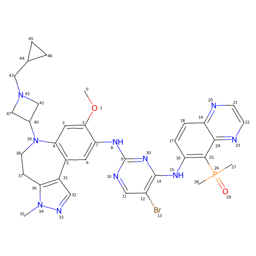 COc1cc2c(cc1Nc1ncc(Br)c(Nc3ccc4nccnc4c3P(C)(C)=O)n1)-c1cnn(C)c1CCN2C1CN(CC2CC2)C1